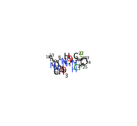 C[C@H](NC(=O)Cn1ncc2c(C3CC3)nn(C)c2c1=O)c1c(F)cccc1Cl